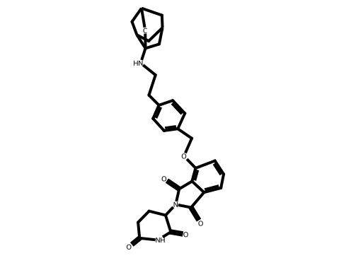 O=C1CCC(N2C(=O)c3cccc(OCc4ccc(CCNC56CC7CC(CC5C7)C6)cc4)c3C2=O)C(=O)N1